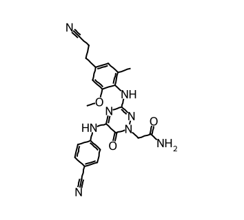 COc1cc(CCC#N)cc(C)c1Nc1nc(Nc2ccc(C#N)cc2)c(=O)n(CC(N)=O)n1